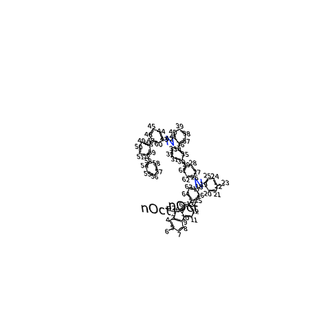 CCCCCCCCC1(CCCCCCCC)c2cc(C)ccc2-c2ccc(-c3ccc(N(c4ccc(C)cc4)c4ccc(-c5ccc6c(c5)c5ccccc5n6-c5cccc(-c6cccc(-c7ccccc7)c6)c5)cc4)cc3)cc21